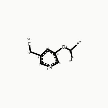 FC(F)Oc1cncc(CCl)c1